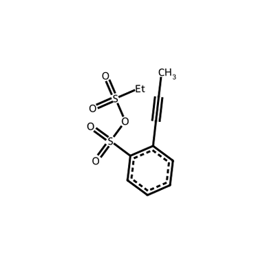 CC#Cc1ccccc1S(=O)(=O)OS(=O)(=O)CC